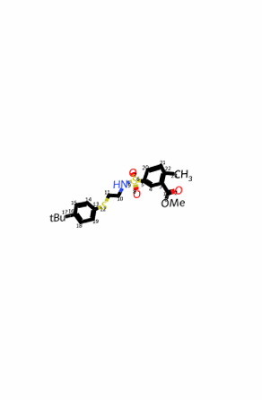 COC(=O)c1cc(S(=O)(=O)NCCSc2ccc(C(C)(C)C)cc2)ccc1C